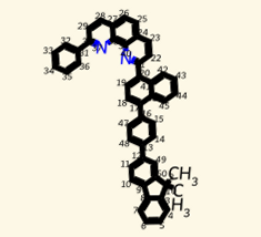 CC1(C)c2ccccc2-c2ccc(-c3ccc(-c4ccc(-c5ccc6ccc7ccc(-c8ccccc8)nc7c6n5)c5ccccc45)cc3)cc21